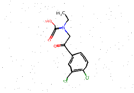 CCN(CC(=O)c1ccc(Cl)c(Cl)c1)C(=O)O